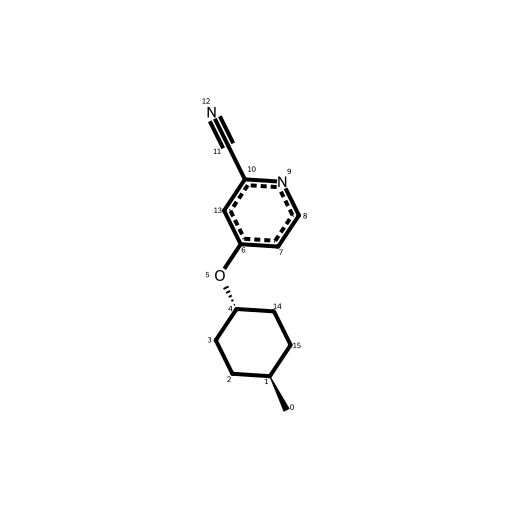 C[C@H]1CC[C@H](Oc2ccnc(C#N)c2)CC1